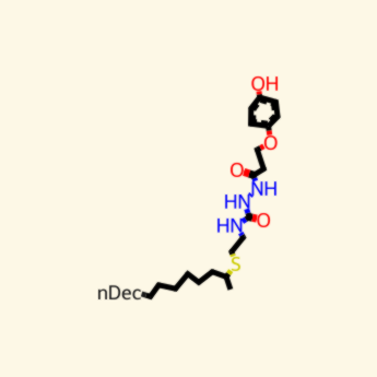 CCCCCCCCCCCCCCCCC(C)SCCNC(=O)NNC(=O)CCOc1ccc(O)cc1